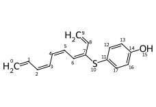 C=C\C=C/C=C\C=C(/C=C)Sc1ccc(O)cc1